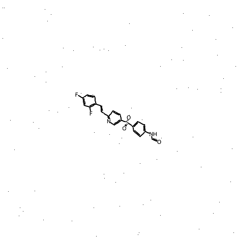 O=CNc1ccc(S(=O)(=O)c2ccc(C=Cc3ccc(F)cc3F)nc2)cc1